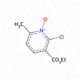 CCOC(=O)c1ccc(C)[n+]([O-])c1Cl